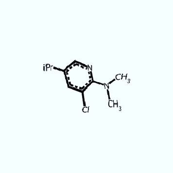 CC(C)c1cnc(N(C)C)c(Cl)c1